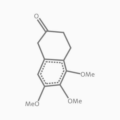 COc1cc2c(c(OC)c1OC)CCC(=O)C2